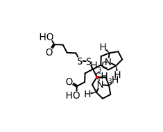 CN1[C@@H]2CC[C@H]1CC(C(CCC(=O)O)(SSCCCC(=O)O)C1C[C@H]3CC[C@@H](C1)N3C)C2